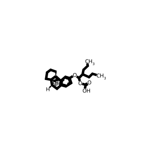 CCCC(CCC)C(OC(=O)O)Oc1ccc2c(c1)[C@@]13CCCC[C@H]1[C@@H](C2)NCC3